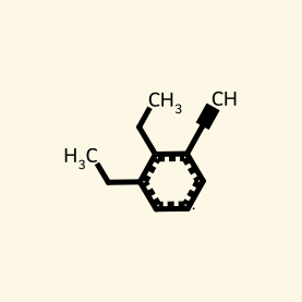 C#Cc1c[c]cc(CC)c1CC